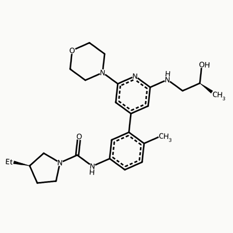 CC[C@@H]1CCN(C(=O)Nc2ccc(C)c(-c3cc(NC[C@H](C)O)nc(N4CCOCC4)c3)c2)C1